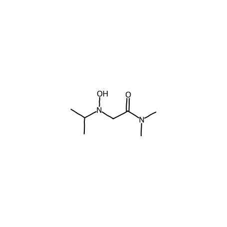 CC(C)N(O)CC(=O)N(C)C